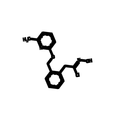 Cc1cccc(OCc2ccccc2C/C(Cl)=N/O)n1